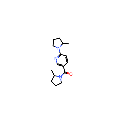 CC1CCCN1C(=O)c1ccc(N2CCCC2C)nc1